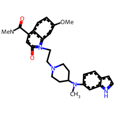 CNC(=O)c1cc(=O)n(CCN2CCC(N(C)c3ccc4cc[nH]c4c3)CC2)c2cc(OC)ccc12